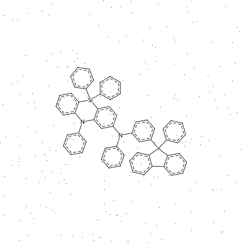 c1ccc(N(c2cccc(C3(c4ccccc4)c4ccccc4-c4ccccc43)c2)c2ccc3c(c2)N(c2ccccc2)c2ccccc2[Si]3(c2ccccc2)c2ccccc2)cc1